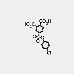 O=C(O)c1ccc(S(=O)(=O)Oc2ccc(Cl)cc2)cc1C(=O)O